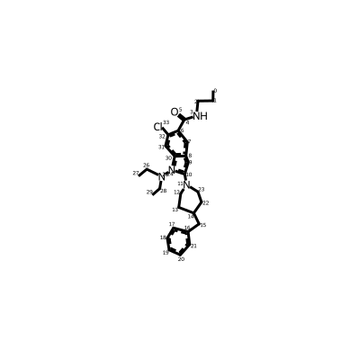 CCCNC(=O)c1cc2cc(N3CCC(Cc4ccccc4)CC3)n(N(CC)CC)c2cc1Cl